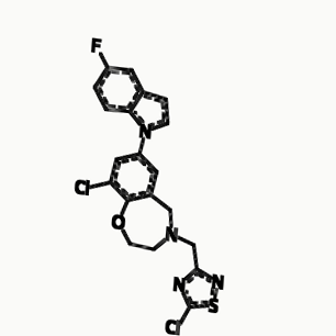 Fc1ccc2c(ccn2-c2cc(Cl)c3c(c2)CN(Cc2nsc(Cl)n2)CCO3)c1